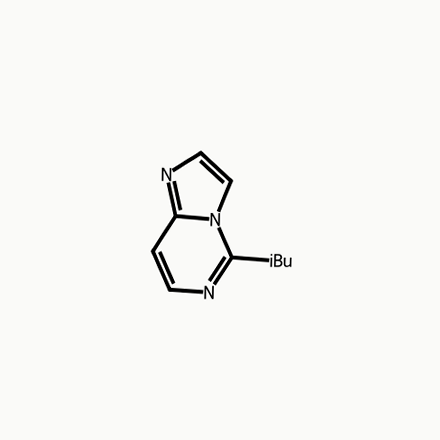 CCC(C)c1nccc2nccn12